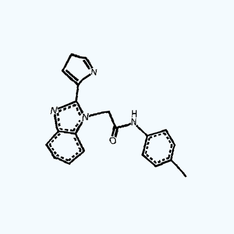 Cc1ccc(NC(=O)Cn2c(C3=CCC=N3)nc3ccccc32)cc1